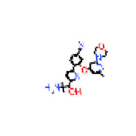 Cc1cc(Oc2cc(C#N)ccc2-c2ccc(C(O)C(C)(C)N)cn2)cc(N2CCOCC2)n1